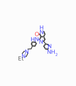 CCN1CCN(CCc2ccc(Nc3nc(-c4ccc(N)nc4)cc4cc[nH]c(=O)c34)cc2)CC1